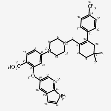 CC1(C)CCC(CN2CCN(c3ccc(C(=O)O)c(Oc4cnc5[nH]ccc5c4)c3)CC2)=C(c2ccc(C(F)(F)F)cc2)C1